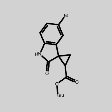 CC(C)(C)OC(=O)C1CC12C(=O)Nc1ccc(Br)cc12